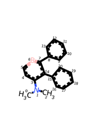 CN(C)c1ccbc(-c2ccccc2)c1-c1ccccc1